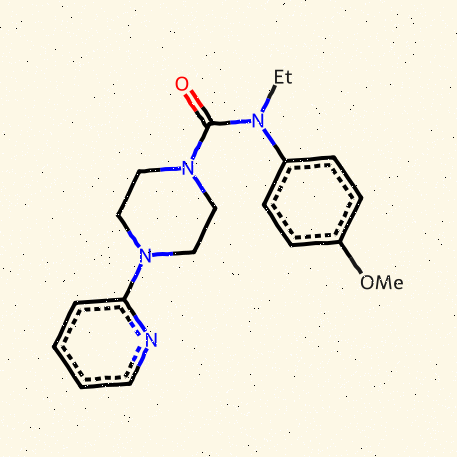 CCN(C(=O)N1CCN(c2ccccn2)CC1)c1ccc(OC)cc1